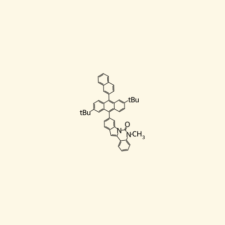 Cn1c(=O)n2c3cc(-c4c5ccc(C(C)(C)C)cc5c(-c5ccc6ccccc6c5)c5ccc(C(C)(C)C)cc45)ccc3cc2c2ccccc21